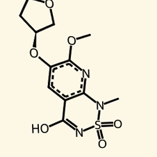 COc1nc2c(cc1O[C@H]1CCOC1)C(O)=NS(=O)(=O)N2C